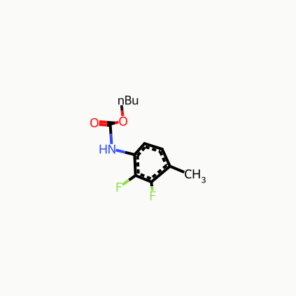 CCCCOC(=O)Nc1ccc(C)c(F)c1F